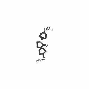 CCCOC1CCC2(CC1)CCN(c1ccc(OC(F)(F)F)cc1)C2=O